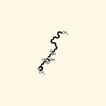 CC/C=C\C/C=C\C/C=C\C/C=C\C/C=C\C/C=C\CCC(=O)NCCC[C@H](NC(=O)C/C=C/c1ccc(C)nc1)C(=O)O